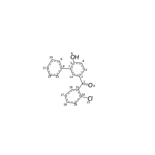 O=C(c1ccc(O)c(-c2ccccc2)c1)c1ccccc1Cl